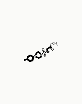 COC(=O)CNS(=O)(=O)N1CCN(c2ccc(I)cc2)CC1